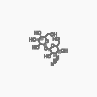 [N-]=[N+]=N[C@@H]1C(O)[C@@H](O[C@H]2OC(CO)[C@@H](O)[C@@H](O)C2O)OC(CO)[C@H]1O